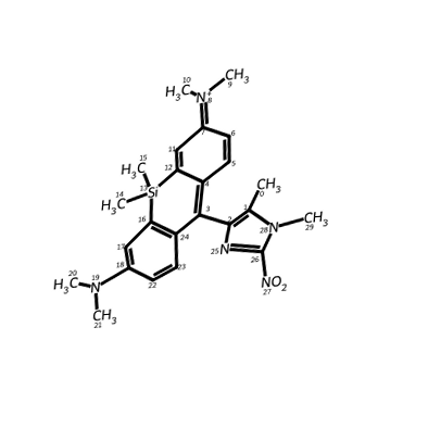 Cc1c(C2=C3C=CC(=[N+](C)C)C=C3[Si](C)(C)c3cc(N(C)C)ccc32)nc([N+](=O)[O-])n1C